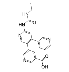 CCNC(=O)Nc1cc(-c2cccnc2)c(-c2cncc(C(=O)O)c2)cn1